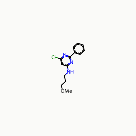 COCCCNc1cc(Cl)nc(-c2ccccc2)n1